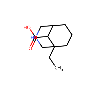 CCC12CCCC(CNC1)C2C(=O)O